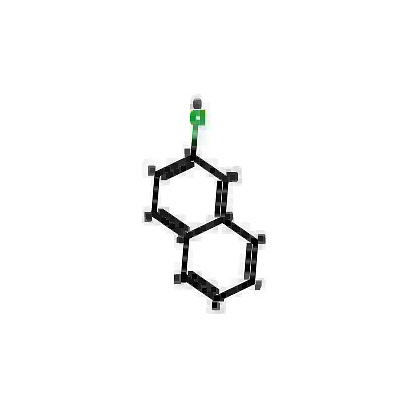 Clc1ccc2[c][c]ccc2c1